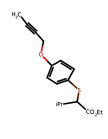 CC#CCOc1ccc(SC(C(=O)OCC)C(C)C)cc1